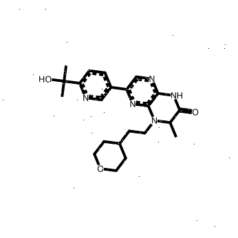 CC1C(=O)Nc2ncc(-c3ccc(C(C)(C)O)nc3)nc2N1CCC1CCOCC1